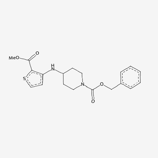 COC(=O)c1sccc1NC1CCN(C(=O)OCc2ccccc2)CC1